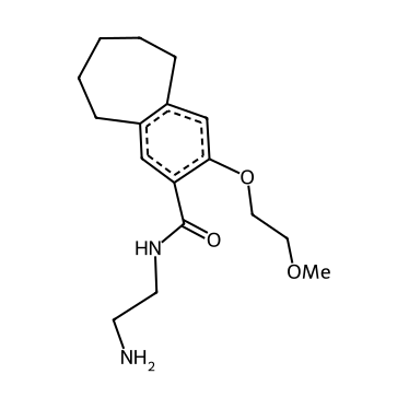 COCCOc1cc2c(cc1C(=O)NCCN)CCCCC2